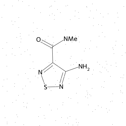 CNC(=O)c1nsnc1N